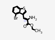 CCOC(=O)/C(N)=C/c1csc2cccc(Br)c12